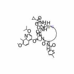 COc1ccc2c(O[C@@H]3C[C@H]4C(=O)N[C@]5(C(=O)NS(=O)(=O)C6CC6)C[C@H]5/C=C\CCCCC[C@H](NC(=O)c5ccc(C)s5)C(=O)N4C3)cc(OC(C)C)nc2c1C